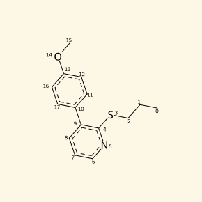 CCCSc1ncccc1-c1ccc(OC)cc1